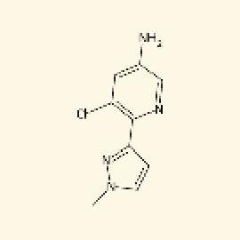 Cn1ccc(-c2ncc(N)cc2Cl)n1